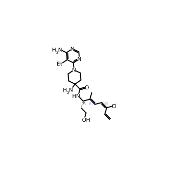 C=C/C(Cl)=C\C=C(/C)[C@H](CCO)NC(=O)C1(N)CCN(c2ncnc(N)c2CC)CC1